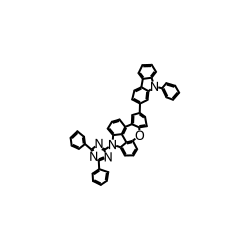 c1ccc(-c2nc(-c3ccccc3)nc(-n3c4cccc5oc6ccc(-c7ccc8c9ccccc9n(-c9ccccc9)c8c7)cc6c6cccc3c6c54)n2)cc1